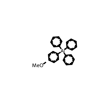 C[OH+]C.c1cc[c]([Al-]([c]2ccccc2)([c]2ccccc2)[c]2ccccc2)cc1